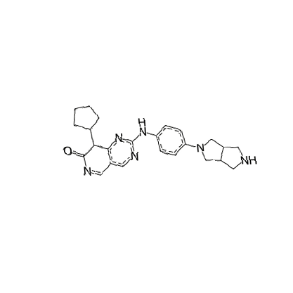 O=C1N=Cc2cnc(Nc3ccc(N4CC5CNCC5C4)cc3)nc2C1C1CCCC1